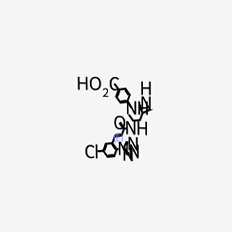 O=C(/C=C/c1cc(Cl)ccc1-n1cnnn1)NC(CNc1ccc(C(=O)O)cc1)CC1CNC1